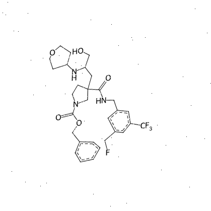 O=C(OCc1ccccc1)N1CCC(CC(CO)NC2CCOCC2)(C(=O)NCc2cc(CF)cc(C(F)(F)F)c2)C1